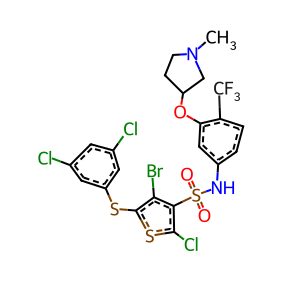 CN1CCC(Oc2cc(NS(=O)(=O)c3c(Cl)sc(Sc4cc(Cl)cc(Cl)c4)c3Br)ccc2C(F)(F)F)C1